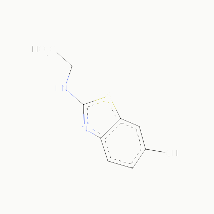 Cc1ccc2nc(NCC(=O)O)sc2c1